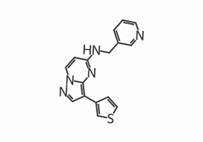 c1cncc(CNc2ccn3ncc(-c4ccsc4)c3n2)c1